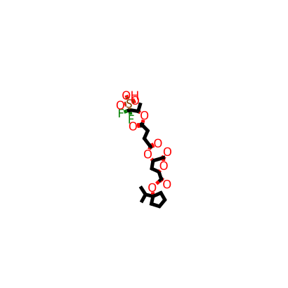 CC(C)C1(OC(=O)C2CC(OC(=O)CCC(=O)OC(C)C(F)(F)S(=O)(=O)O)C(=O)O2)CCCC1